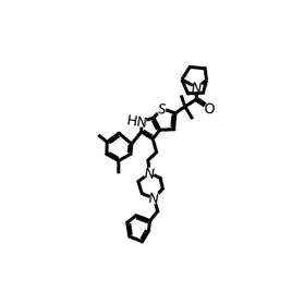 Cc1cc(C)cc(-c2[nH]c3sc(C(C)(C)C(=O)N4C5CCC4CC5)cc3c2CCN2CCN(Cc3ccccc3)CC2)c1